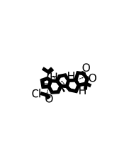 C=C(C)[C@@H]1CC[C@]2(C(=O)Cl)CC[C@]3(C)[C@H](CC[C@@H]4[C@@]5(C)CC(=O)C(=O)C(C)(C)[C@@H]5CC[C@]43C)[C@@H]12